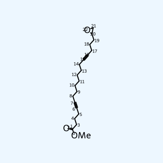 COC(=O)CCCC#CCCCCCCCC#CCCCC1CO1